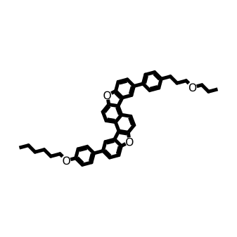 CCCCCCOc1ccc(-c2ccc3oc4ccc5c(ccc6oc7ccc(-c8ccc(CCCOCCC)cc8)cc7c65)c4c3c2)cc1